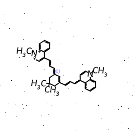 CN1C=CC(=CC=CC2=C/C(=C/C=Cc3cc[n+](C)c4ccccc34)CC(C)(C)C2)c2ccccc21